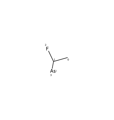 CC(F)[As]